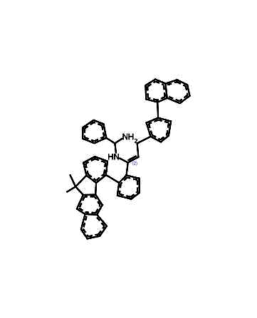 CC1(C)c2cc3ccccc3cc2-c2c(-c3ccccc3/C(=C/Cc3cccc(-c4cccc5ccccc45)c3)NC(N)c3ccccc3)cccc21